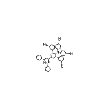 N#Cc1cccc(-c2cc(-c3cc(-c4ccccc4)nc(-c4ccccc4)n3)cc(-c3cccc(C#N)c3)c2-n2c3ccc(C#N)cc3c3cc(C#N)ccc32)c1